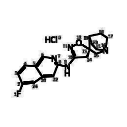 Cl.Fc1ccc2cnc(NC3=NO[C@@]4(C3)CN3CCC4CC3)cc2c1